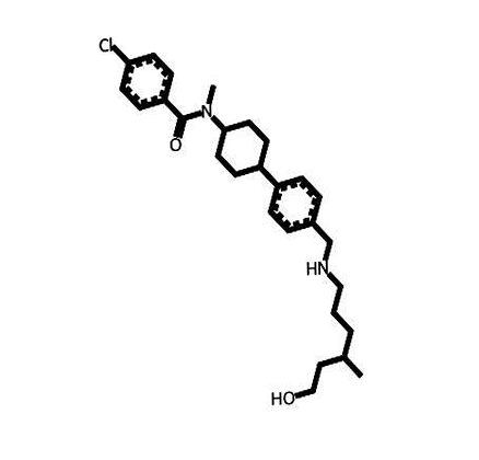 CC(CCO)CCCNCc1ccc(C2CCC(N(C)C(=O)c3ccc(Cl)cc3)CC2)cc1